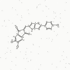 O=C1C(=Cc2cc3sc(-c4ccc(Cl)cc4)cc3s2)C(=O)c2cc(Cl)c(Cl)cc21